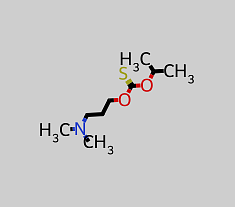 CC(C)OC(=S)OCCCN(C)C